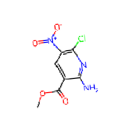 COC(=O)c1cc([N+](=O)[O-])c(Cl)nc1N